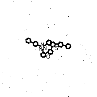 c1ccc(-c2ccc(-c3nc(-c4ccccc4)nc(-c4cccc5oc6ccc(-c7cccc8c7sc7cc(-c9ccccc9)ccc78)cc6c45)n3)cc2)cc1